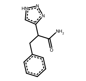 NC(=O)C(Cc1ccccc1)c1c[nH]nn1